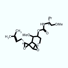 COC[C@H](NC(=O)OC1CC[C@]23OC2C2(O[C@@H]2CC=C(C)C)C3C1OC)C(C)C